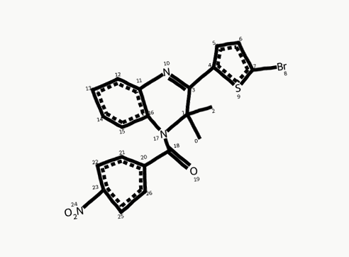 CC1(C)C(c2ccc(Br)s2)=Nc2ccccc2N1C(=O)c1ccc([N+](=O)[O-])cc1